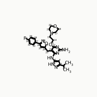 CC(C)c1cc(Nc2nc(N)nc(OCCN3CCOCC3)c2Cc2cc(-c3ccc(F)cc3)no2)[nH]n1